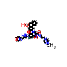 CN1CCN(CCCNC(=O)c2cn3c4c(c(NCCCN5CCOCC5)c(F)cc4c2=O)Oc2cc4c(cc2-3)-c2ccccc2CC4O)CC1